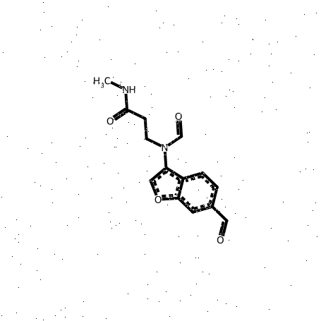 CNC(=O)CCN(C=O)c1coc2cc(C=O)ccc12